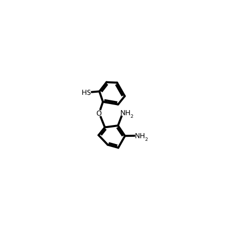 Nc1cccc(Oc2ccccc2S)c1N